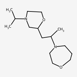 CC(C)N1CCOC(CC(C)N2CCCOCC2)C1